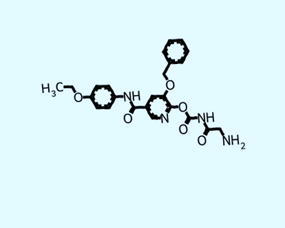 CCOc1ccc(NC(=O)c2cnc(OC(=O)NC(=O)CN)c(OCc3ccccc3)c2)cc1